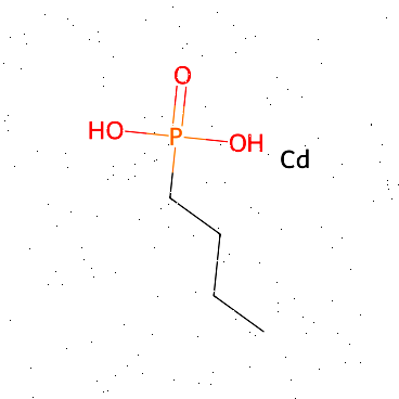 CCCCP(=O)(O)O.[Cd]